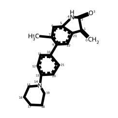 C=C1C(=O)Nc2cc(C)c(-c3ccc(N4CCCCC4)cc3)cc21